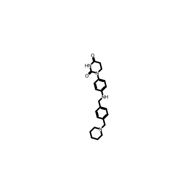 O=C1CCN(c2ccc(NCc3ccc(CN4CCCCC4)cc3)cc2)C(=O)N1